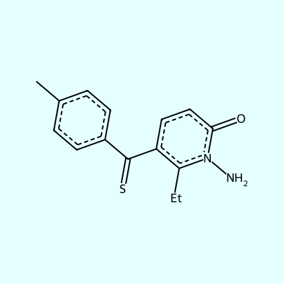 CCc1c(C(=S)c2ccc(C)cc2)ccc(=O)n1N